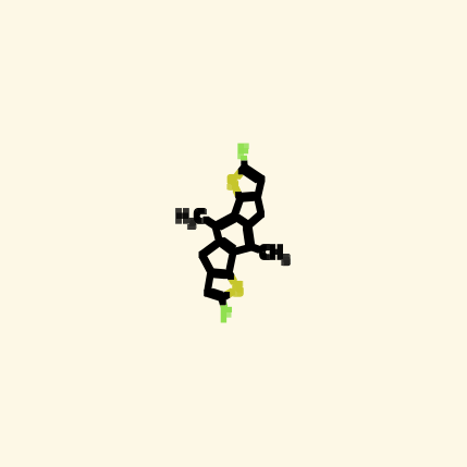 Cc1c2c(c(C)c3c1-c1sc(F)cc1C3)-c1sc(F)cc1C2